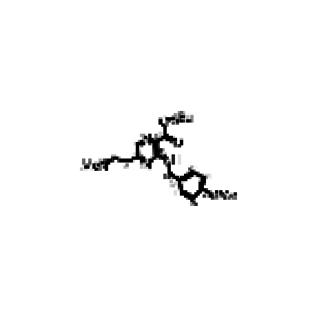 CNCCc1cnc(C(=O)OC(C)(C)C)c(NCc2ccc(OC)cc2)n1